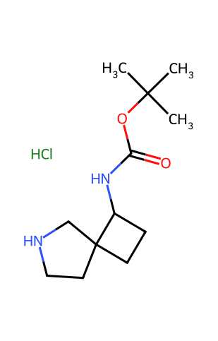 CC(C)(C)OC(=O)NC1CCC12CCNC2.Cl